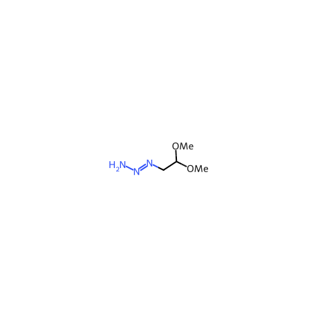 COC(CN=NN)OC